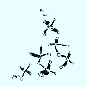 O=S(=O)(O)[O][Cr](=[O])(=[O])[O-].O=S(=O)(O)[O][Cr](=[O])(=[O])[O-].[O]=[Mo](=[O])([O-])[O-].[O]=[Mo](=[O])([O-])[O-].[Pb+2].[Pb+2].[Pb+2]